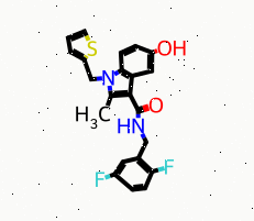 Cc1c(C(=O)NCc2cc(F)ccc2F)c2cc(O)ccc2n1Cc1cccs1